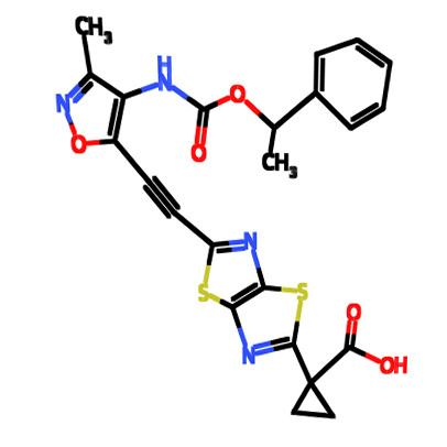 Cc1noc(C#Cc2nc3sc(C4(C(=O)O)CC4)nc3s2)c1NC(=O)OC(C)c1ccccc1